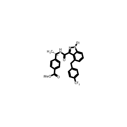 CCn1nc(C(=O)N[C@@H](C)c2ccc(C(=O)OC)cc2)c2c(Cc3ccc(C(F)(F)F)cc3)cccc21